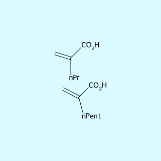 C=C(CCC)C(=O)O.C=C(CCCCC)C(=O)O